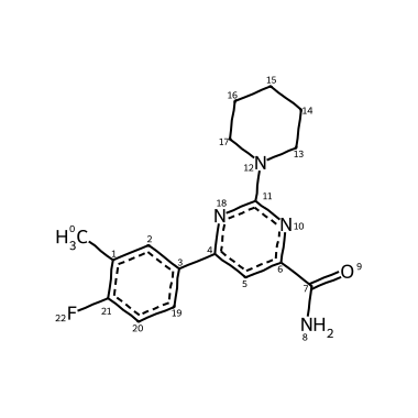 Cc1cc(-c2cc(C(N)=O)nc(N3CCCCC3)n2)ccc1F